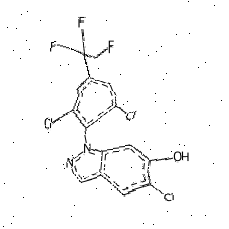 Oc1cc2c(cnn2-c2c(Cl)cc(C(F)(F)F)cc2Cl)cc1Cl